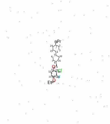 CCC[C@H]1CC[C@H]([C@H]2CC[C@H](COc3ccc(OCC)c(F)c3Cl)CC2)CC1